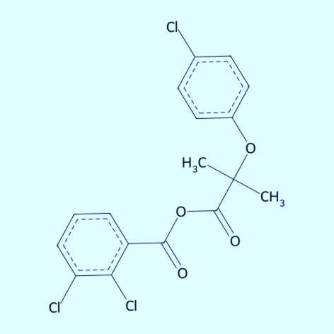 CC(C)(Oc1ccc(Cl)cc1)C(=O)OC(=O)c1cccc(Cl)c1Cl